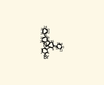 Brc1ccc2c(c1)c1cc(-c3ccccc3)cc3c4cc(-c5ccccc5)ccc4n2c13